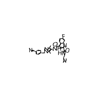 Cc1nn(Cc2ccc(C#N)cc2)c(C)c1NC(=O)c1cc(C(=O)NCCN(C)C)nc2cc(F)ccc12